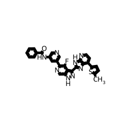 Cc1ccc(-c2ccnc3[nH]c(-c4n[nH]c5cnc(-c6cncc(NC(=O)c7ccccc7)c6)c(F)c45)nc23)s1